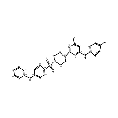 Cc1ccc(Nc2cc(C)nc(N3CCN(S(=O)(=O)c4ccc(Oc5ccccc5)cc4)CC3)n2)cc1